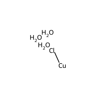 O.O.O.[Cl][Cu]